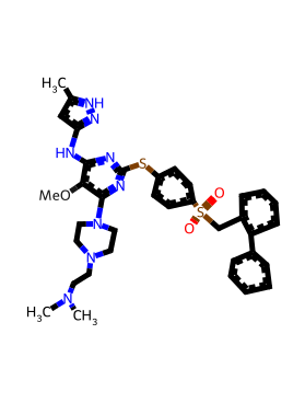 COc1c(Nc2cc(C)[nH]n2)nc(Sc2ccc(S(=O)(=O)Cc3ccccc3-c3ccccc3)cc2)nc1N1CCN(CCN(C)C)CC1